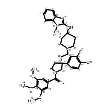 COc1cc(C(=O)N2CC[C@@](CCN3CCC(Nc4nc5ccccc5n4C)CC3)(c3ccc(Cl)c(Cl)c3)C2)cc(OC)c1OC